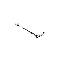 CCCN(CCc1cccs1)[C@H]1CCc2c(cccc2OC(=O)CCNC(=O)CCCCCCCCCCCCCCCCCC(=O)NCC)C1